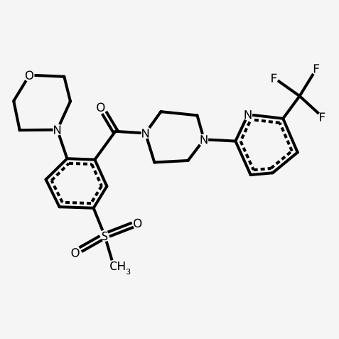 CS(=O)(=O)c1ccc(N2CCOCC2)c(C(=O)N2CCN(c3cccc(C(F)(F)F)n3)CC2)c1